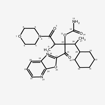 CC(C(=O)N1CCOCC1)C(OC(N)=O)(C(=O)c1nc2cccnc2o1)C(C)C1CCCCC1